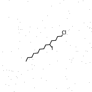 CCCCCCCCC(I)CCCCCl